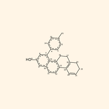 Cc1ccc(-c2cc(O)cc3ccc4c(c23)CCC2=C4C=CCC2)cc1